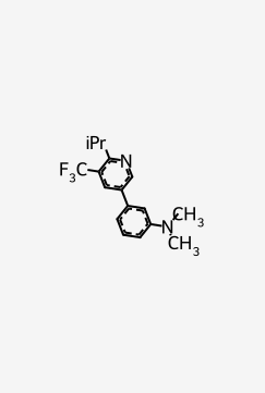 CC(C)c1ncc(-c2cccc(N(C)C)c2)cc1C(F)(F)F